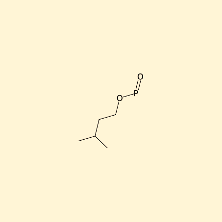 CC(C)CCOP=O